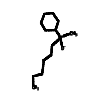 CCCCCC[N+](C)([O-])C1CCCCC1